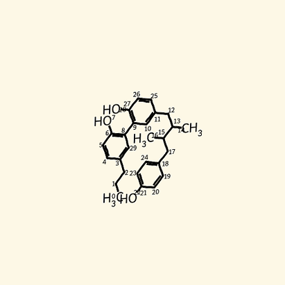 CCCc1ccc(O)c(-c2cc(CC(C)C(C)Cc3ccc(O)cc3)ccc2O)c1